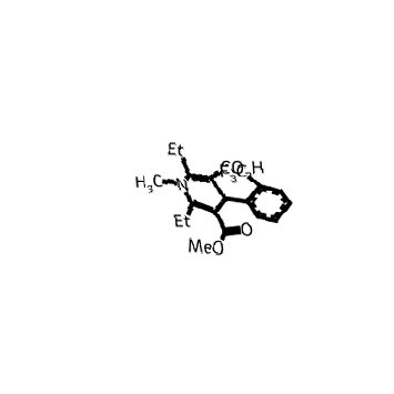 CCC1=C(C(=O)O)C(c2ccccc2C(F)(F)F)C(C(=O)OC)=C(CC)N1C